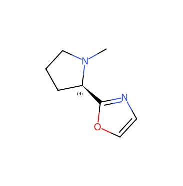 CN1CCC[C@@H]1c1ncco1